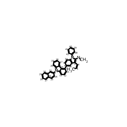 C=Nc1c(/C=C\C)c2cc(-c3cccc4c3c3ccccc3n4-c3ccc4ccccc4c3)ccc2n1-c1ccccc1